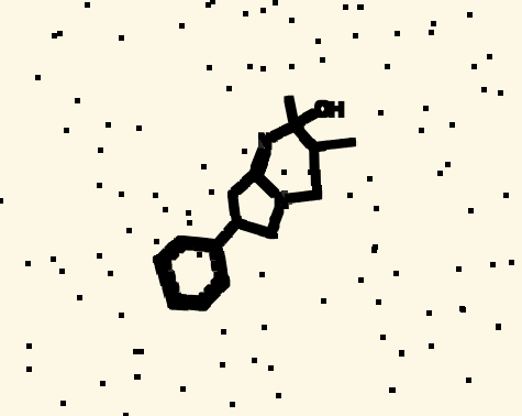 CC1CN2CC(c3ccccc3)CC2=NC1(C)O